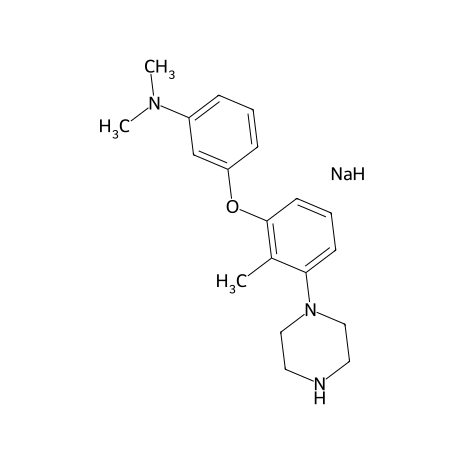 Cc1c(Oc2cccc(N(C)C)c2)cccc1N1CCNCC1.[NaH]